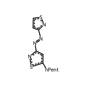 CCCCCc1cc(N=Nc2ccsn2)ns1